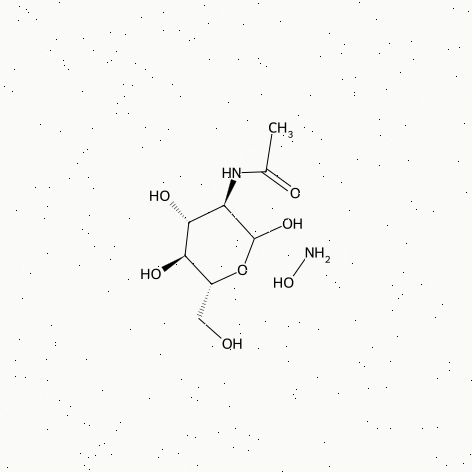 CC(=O)N[C@H]1C(O)O[C@H](CO)[C@@H](O)[C@@H]1O.NO